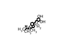 C=C1C(=CC=C2CCC[C@]3(C)C([C@H](C)OCC(=S)C(C)C)=CC[C@@H]23)C[C@@H](O)C[C@@H]1O